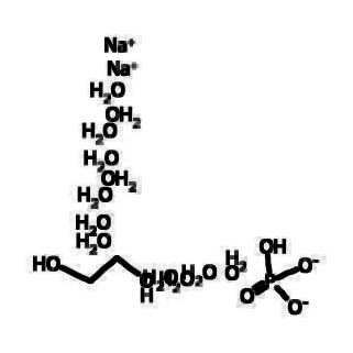 O.O.O.O.O.O.O.O.O.O.O.O.O=P([O-])([O-])O.OCCO.[Na+].[Na+]